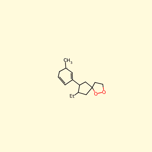 CCC1CC2(CCOO2)CC1C1=C[C](C)CC=C1